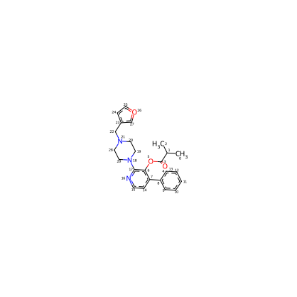 CC(C)C(=O)Oc1c(-c2ccccc2)ccnc1N1CCN(Cc2ccoc2)CC1